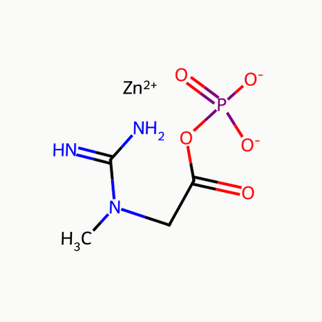 CN(CC(=O)OP(=O)([O-])[O-])C(=N)N.[Zn+2]